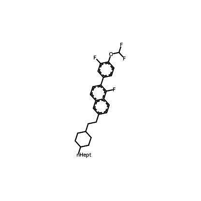 CCCCCCCC1CCC(CCc2ccc3c(F)c(-c4ccc(OC(F)F)c(F)c4)ccc3c2)CC1